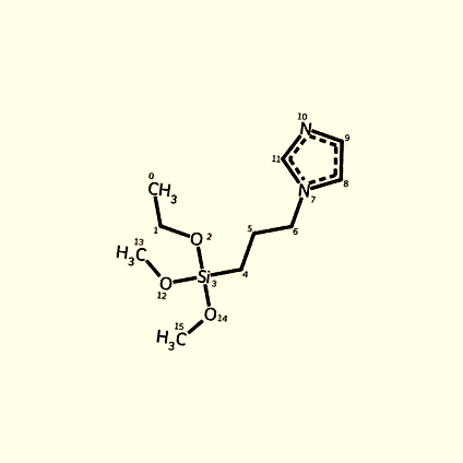 CCO[Si](CCCn1ccnc1)(OC)OC